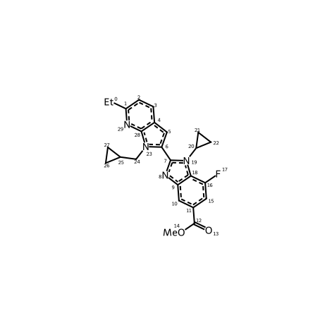 CCc1ccc2cc(-c3nc4cc(C(=O)OC)cc(F)c4n3C3CC3)n(CC3CC3)c2n1